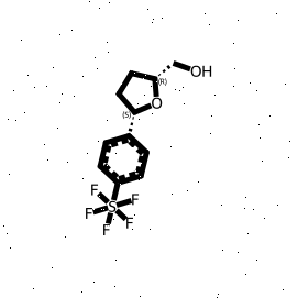 OC[C@H]1CC[C@@H](c2ccc(S(F)(F)(F)(F)F)cc2)O1